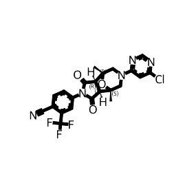 C[C@]12CN(c3cc(Cl)ncn3)C[C@](C)(O1)[C@@H]1C(=O)N(c3ccc(C#N)c(C(F)(F)F)c3)C(=O)[C@@H]12